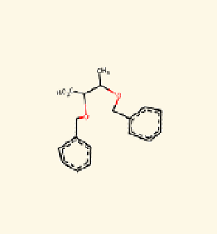 CC(OCc1ccccc1)C(OCc1ccccc1)C(=O)O